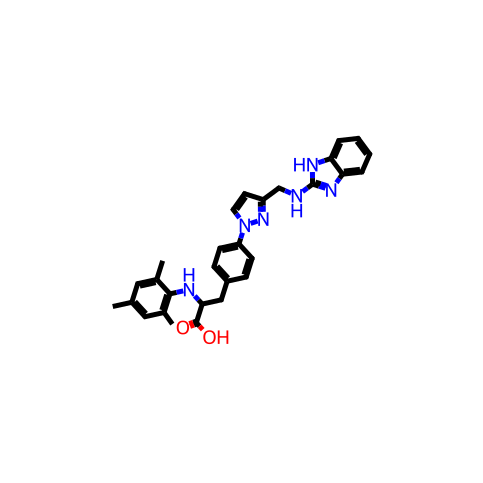 Cc1cc(C)c(NC(Cc2ccc(-n3ccc(CNc4nc5ccccc5[nH]4)n3)cc2)C(=O)O)c(C)c1